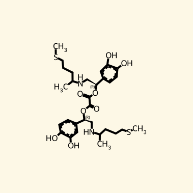 CSCCCC(C)NC[C@H](OC(=O)C(=O)O[C@@H](CNC(C)CCCSC)c1ccc(O)c(O)c1)c1ccc(O)c(O)c1